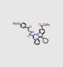 COC(=O)c1ccc2c(C3CCCCC3)c3n(c2c1)CC(C(=O)NCC(=O)c1ccc(OC)cc1)=Cc1ccccc1-3